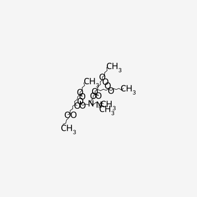 CCCCCOC(=O)CCCC(CCCC(=O)OCCCCC)OC(=O)OCCN(CCOC(=O)OC(CCCC(=O)OCCCCC)CCCC(=O)OCCCCC)CCN(CC)CC